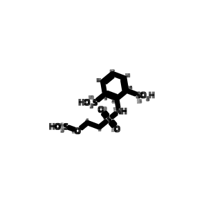 O=S(=O)(CCOS(=O)(=O)O)Nc1c(S(=O)(=O)O)cccc1S(=O)(=O)O